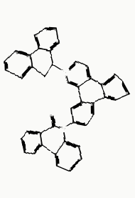 O=c1c2ccccc2c2ccccc2n1-c1ccc2c3ccccc3c3cc[n+](C4Cc5ccccc5-c5ccccc54)cc3c2c1